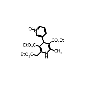 CCOC(=O)CC1=C(C(=O)OCC)C(c2ccc[n+]([O-])c2)C(C(=O)OCC)=C(C)N1